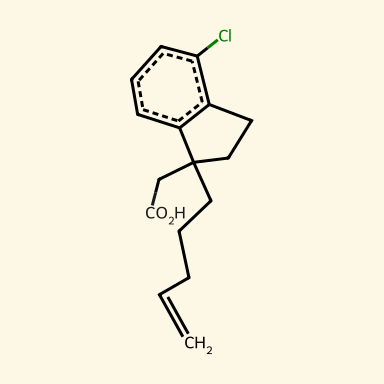 C=CCCCC1(CC(=O)O)CCc2c(Cl)cccc21